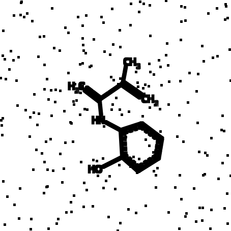 C=C(C)C(=C)Nc1ccccc1O